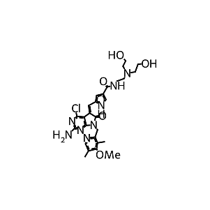 COc1c(C)cnc(CN2C(=O)/C(=C\c3cc(C(=O)NCCN(CCO)CCO)c[nH]3)c3c(Cl)nc(N)nc32)c1C